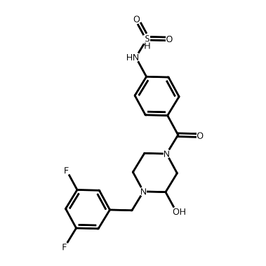 O=C(c1ccc(N[SH](=O)=O)cc1)N1CCN(Cc2cc(F)cc(F)c2)C(O)C1